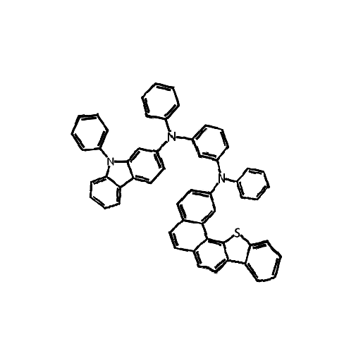 c1ccc(N(c2cccc(N(c3ccccc3)c3ccc4c5ccccc5n(-c5ccccc5)c4c3)c2)c2ccc3ccc4ccc5c6ccccc6sc5c4c3c2)cc1